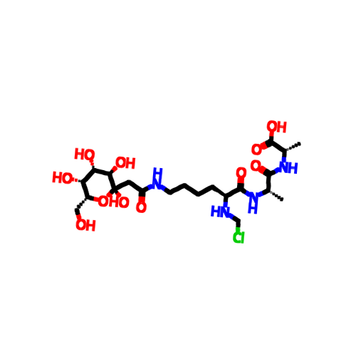 C[C@H](NC(=O)[C@H](C)NC(=O)[C@H](CCCCNC(=O)C[C@]1(O)O[C@H](CO)[C@H](O)[C@H](O)[C@H]1O)NCCl)C(=O)O